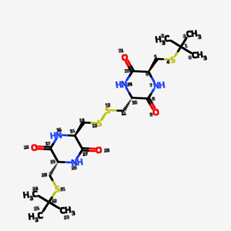 CC(C)(C)SC[C@H]1NC(=O)[C@H](CSSC[C@@H]2NC(=O)[C@@H](CSC(C)(C)C)NC2=O)NC1=O